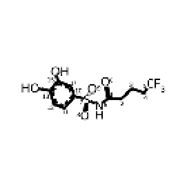 O=C(CCCC(F)(F)F)NS(=O)(=O)c1ccc(O)c(O)c1